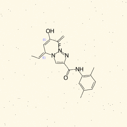 C=C(F)/C(O)=C\C(=C/C)n1cc(C(=O)Nc2cc(C)ccc2C)nn1